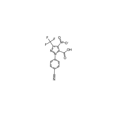 N#Cc1ccc(-n2nc(C(F)(F)F)c([N+](=O)[O-])c2C(=O)O)cc1